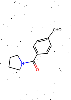 O=[C]c1ccc(C(=O)N2CCCC2)cc1